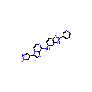 CN1CC(c2cnc3c(Nc4ccc5[nH]c(-c6cccnc6)nc5c4)nccn23)C=N1